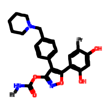 CCNC(=O)Oc1noc(-c2cc(C(C)C)c(O)cc2O)c1-c1ccc(CN2CCCCC2)cc1